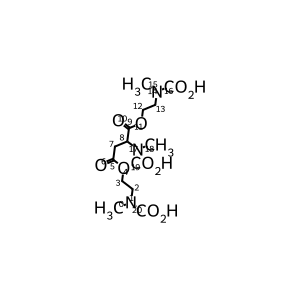 CN(CCOC(=O)CC(C(=O)OCCN(C)C(=O)O)N(C)C(=O)O)C(=O)O